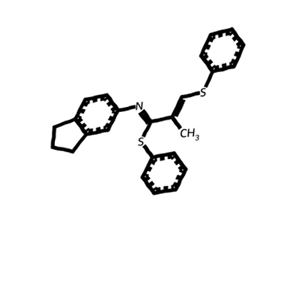 CC(=CSc1ccccc1)C(=Nc1ccc2c(c1)CCC2)Sc1ccccc1